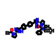 CCC(=O)N1CCC[C@H]1c1ncc(-c2ccc(-c3ccc(-c4cnc([C@@H]5CCCN5C(=O)[C@@H](c5ccccc5)N(C)C(=O)O)[nH]4)cc3)cc2)[nH]1